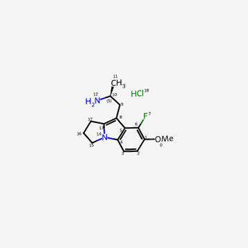 COc1ccc2c(c1F)c(C[C@H](C)N)c1n2CCC1.Cl